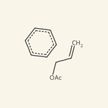 C=CCOC(C)=O.c1ccccc1